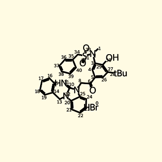 Br.CN(c1cc(C(=O)Cn2c(=N)n(Cc3ccccc3)c3ccccc32)cc(C(C)(C)C)c1O)S(=O)(=O)Cc1ccccc1